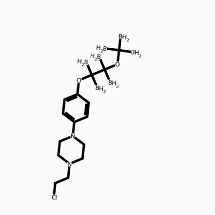 BC(B)(B)OC(B)(B)C(B)(B)Oc1ccc(N2CCN(CCCl)CC2)cc1